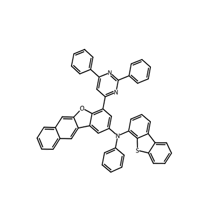 c1ccc(-c2cc(-c3cc(N(c4ccccc4)c4cccc5c4sc4ccccc45)cc4c3oc3cc5ccccc5cc34)nc(-c3ccccc3)n2)cc1